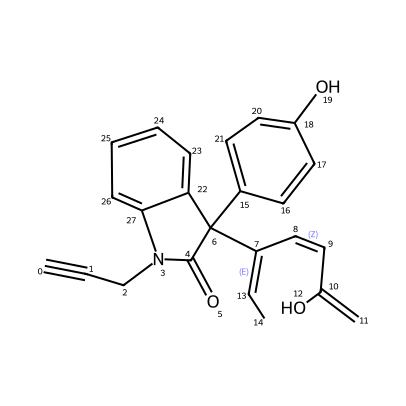 C#CCN1C(=O)C(C(/C=C\C(=C)O)=C/C)(c2ccc(O)cc2)c2ccccc21